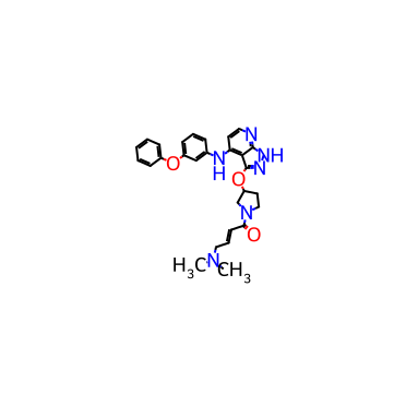 CN(C)C/C=C/C(=O)N1CCC(Oc2n[nH]c3nccc(Nc4cccc(Oc5ccccc5)c4)c23)C1